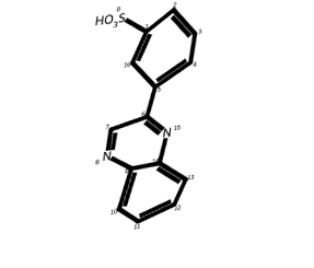 O=S(=O)(O)c1cccc(-c2cnc3ccccc3n2)c1